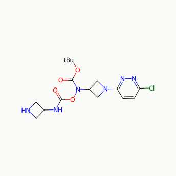 CC(C)(C)OC(=O)N(OC(=O)NC1CNC1)C1CN(c2ccc(Cl)nn2)C1